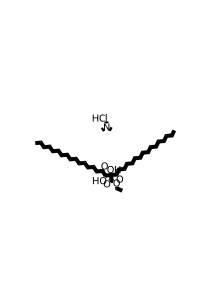 CCCCCCCCCCCCCCCC(=O)C(O)C(O)(C(=O)CCCCCCCCCCCCCCC)C(=O)OCC.CN(C)C.Cl